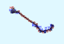 CC(=N)/C(=C(/C)O)c1cnc2c(-c3ccc(C(=O)NCCOCCOCCOCCOCCOCCOCCOCCNC(=O)CCNC(=O)c4nc(NC(=O)CCNC(=O)c5cc(NC(=O)c6cc(NC(=O)CCNC(=O)c7cc(NC(=O)c8nccn8C)cn7C)cn6C)cn5C)cn4C)cc3)cn([C@@H](C)c3ccccn3)c2c1